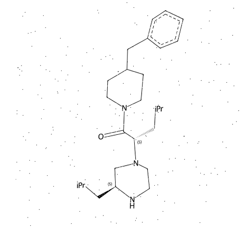 CC(C)C[C@H]1CN([C@@H](CC(C)C)C(=O)N2CCC(Cc3ccccc3)CC2)CCN1